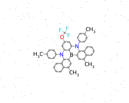 Cc1ccc(N2c3cc(OC(F)(F)F)cc4c3B(c3cc(C)c5ccccc5c32)c2cc(C)c3ccccc3c2N4c2ccc(C)cc2)cc1